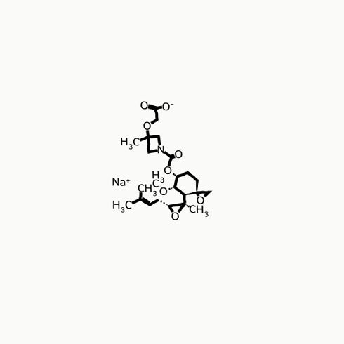 CO[C@@H]1[C@H](OC(=O)N2CC(C)(OCC(=O)[O-])C2)CC[C@]2(CO2)[C@H]1[C@@]1(C)O[C@@H]1CC=C(C)C.[Na+]